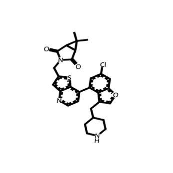 CC1(C)C2C(=O)N(Cc3cc4nccc(-c5cc(Cl)cc6occ(CC7CCNCC7)c56)c4s3)C(=O)C21